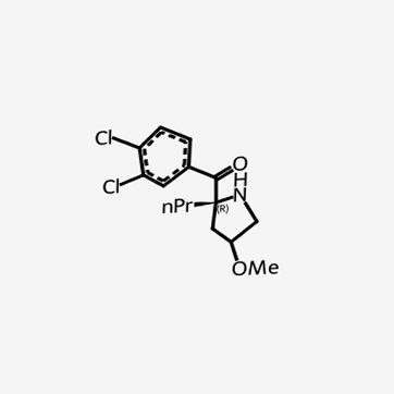 CCC[C@]1(C(=O)c2ccc(Cl)c(Cl)c2)CC(OC)CN1